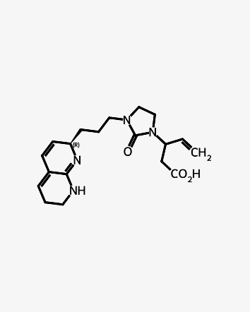 C=CC(CC(=O)O)N1CCN(CCC[C@@H]2C=CC3=CCCNC3=N2)C1=O